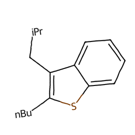 CCCCc1sc2ccccc2c1CC(C)C